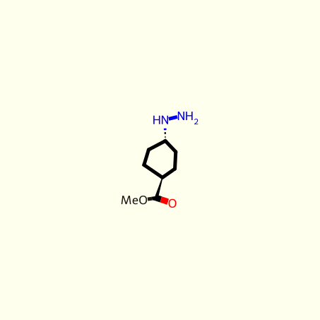 COC(=O)[C@H]1CC[C@H](NN)CC1